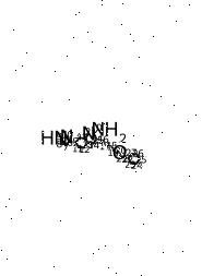 Nc1nc2cc(-c3cc[nH]n3)ccc2cc1CCCCOCc1ccccc1